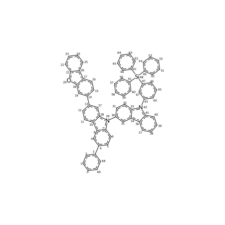 c1ccc(-c2ccc3c(c2)c2ccc(-c4ccc5c(c4)oc4ccccc45)cc2n3-c2ccc3c(c2)c2ccccc2n3-c2cccc([Si](c3ccccc3)(c3ccccc3)c3ccccc3)c2)cc1